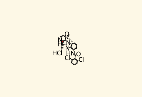 Cl.O=C=C[N+]1(c2cccnc2)C(C(F)(F)F)=Nc2c(NC(=O)c3c(Cl)cccc3Cl)cccc21